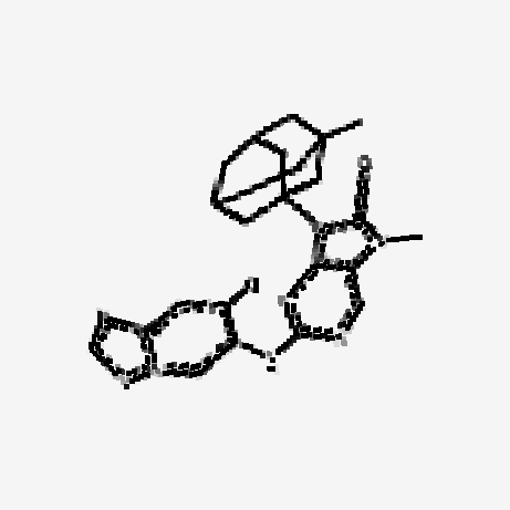 Cn1c(=O)n(C23CC4CC(CC(C)(C4)C2)C3)c2nc(Nc3cn4ncnc4cc3Cl)ncc21